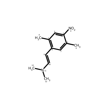 Cc1cc([N+](=O)[O-])c(C)cc1C=CN(C)C